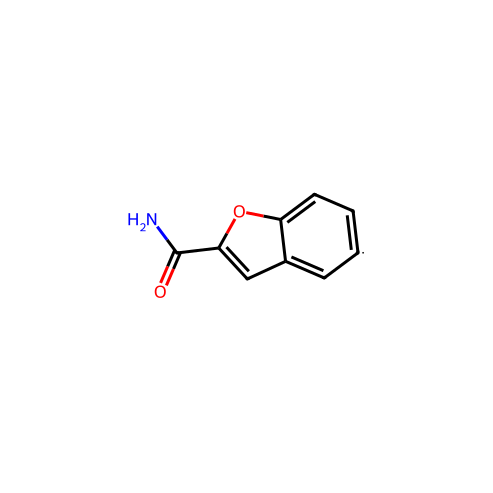 NC(=O)c1cc2c[c]ccc2o1